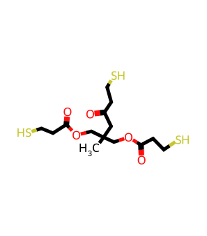 CC(COC(=O)CCS)(COC(=O)CCS)CC(=O)CCS